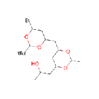 CCC1CC(CC2CC(CC(C)O)OC(C)O2)OC(C(C)(C)C)O1